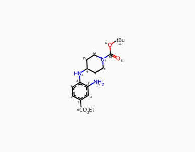 CCOC(=O)c1ccc(NC2CCN(C(=O)OC(C)(C)C)CC2)c(N)c1